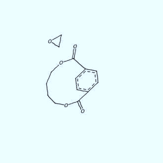 C1CO1.O=C1OCCCCOC(=O)c2ccc1cc2